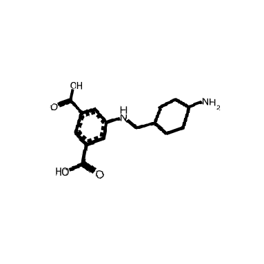 NC1CCC(CNc2cc(C(=O)O)cc(C(=O)O)c2)CC1